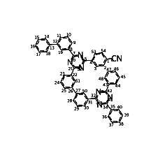 N#Cc1ccc(-c2nc(-c3cccc(-c4ccccc4)c3)nc(-c3cccc(-c4cccc(-c5nc(-c6ccccc6)nc(-c6ccccc6)n5)c4)c3)n2)cc1